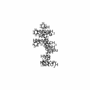 CC(C)C[C@H](NC(=O)[C@H](Cc1c[nH]cn1)NC(=O)CNC(=O)[C@@H](NC(=O)[C@H](C)NC(=O)[C@H](Cc1c[nH]c2ccccc12)NC(=O)[C@H](CCC(N)=O)NC(=O)[C@@H](Cc1ccccc1)NC(=O)[C@@H]1CCCCN1)C(C)(C)C)C(=O)O